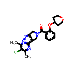 Cc1nc2c3c(nn2c(C)c1Cl)CN(C(=O)c1ccccc1OC1CCOCC1)C3